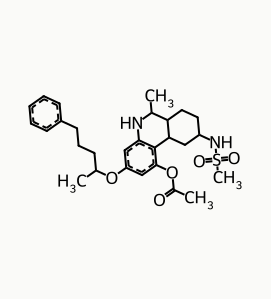 CC(=O)Oc1cc(OC(C)CCCc2ccccc2)cc2c1C1CC(NS(C)(=O)=O)CCC1C(C)N2